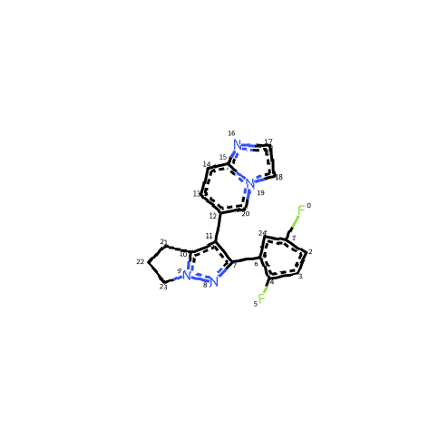 Fc1ccc(F)c(-c2nn3c(c2-c2ccc4nccn4c2)CCC3)c1